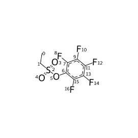 CCS(=O)(=O)Oc1c(F)c(F)c(F)c(F)c1F